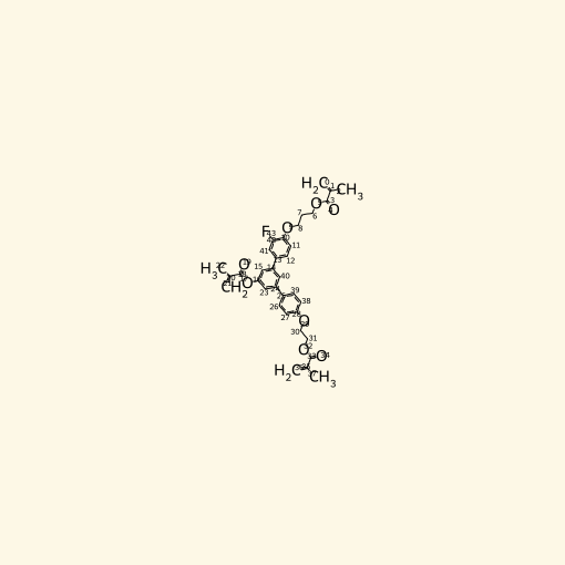 C=C(C)C(=O)OCCCOc1ccc(-c2cc(OC(=O)C(=C)C)cc(-c3ccc(OCCOC(=O)C(=C)C)cc3)c2)cc1F